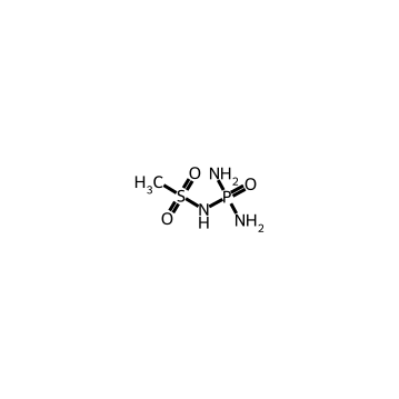 CS(=O)(=O)NP(N)(N)=O